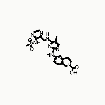 Cc1cnc(Nc2ccc3c(c2)CCN(C(=O)O)C3)nc1NCc1nccnc1NS(C)(=O)=O